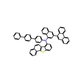 c1ccc(-c2ccc(-c3ccc(N(c4cc(-c5cc6ccccc6c6ccccc56)cc5ccccc45)c4cccc5sc6c7ccccc7ccc6c45)cc3)cc2)cc1